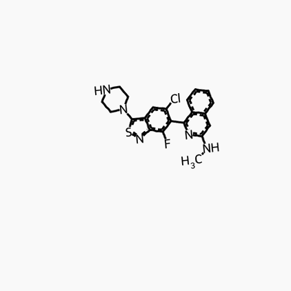 CNc1cc2ccccc2c(-c2c(Cl)cc3c(N4CCNCC4)snc3c2F)n1